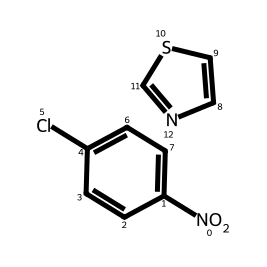 O=[N+]([O-])c1ccc(Cl)cc1.c1cscn1